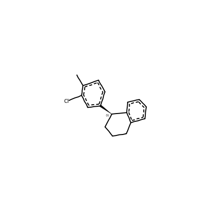 Cc1ccc([C@@H]2CCCc3ccccc32)cc1Cl